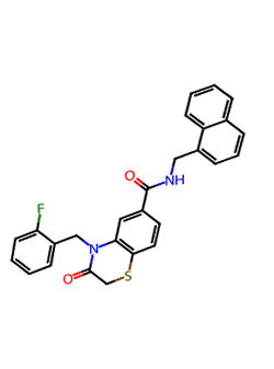 O=C(NCc1cccc2ccccc12)c1ccc2c(c1)N(Cc1ccccc1F)C(=O)CS2